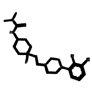 CN(C)C(=O)NC1CCC(F)(CCN2CCN(c3cccc(Cl)c3Cl)CC2)CC1